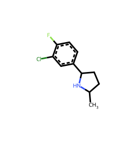 CC1CCC(c2ccc(F)c(Cl)c2)N1